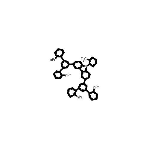 CCCc1ccccc1-c1cc(-c2ccc3c(c2)c2cc(-c4cc(-c5ccccc5CCC)cc(-c5ccccc5CCC)c4)ccc2n3-c2ccccc2C(F)(F)F)cc(-c2ccccc2CCC)c1